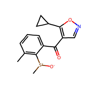 Cc1cccc(C(=O)c2cnoc2C2CC2)c1[S+](C)[O-]